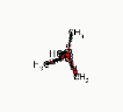 CCCCCCCCCCCCCCCCC(C(=O)CCCCCCCCCCCCCCC)(C(=O)CCCCCCCCCCCCCCC)C(=O)OCC(O)CO